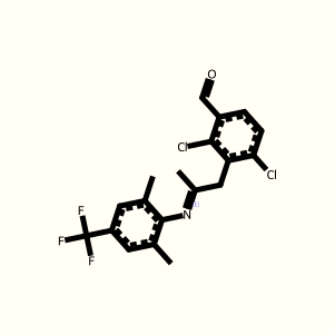 C/C(Cc1c(Cl)ccc(C=O)c1Cl)=N\c1c(C)cc(C(F)(F)F)cc1C